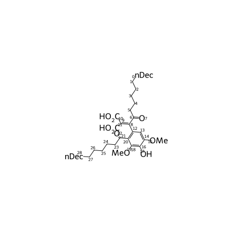 CCCCCCCCCCCCCCCC(=O)C(=C(C(=O)O)C(=O)O)c1cc(OC)c(O)c(OC)c1C(=O)CCCCCCCCCCCCCCC